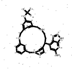 Nc1cc(C2CCNCc3cc(cc(OC(F)(F)F)c3)COc3cccc(c3)Cn3cc2cn3)c2nn[nH]c2n1